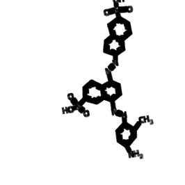 Cc1cc(N)ccc1/N=N/c1ccc(/N=N/c2ccc3cc(S(=O)(=O)O)ccc3c2)c2ccc(S(=O)(=O)O)cc12